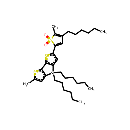 CCCCCCC1=C(C)S(=O)(=O)C(c2cc3c(s2)-c2sc(C)cc2[Si]3(CCCCCC)CCCCCC)=C1